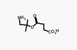 CC(C)(CN)OC(=O)CCC(=O)O